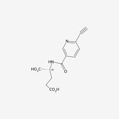 C#Cc1ccc(C(=O)N[C@H](CCC(=O)O)C(=O)O)cn1